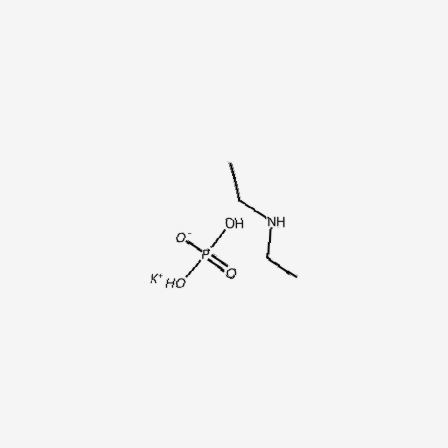 CCNCC.O=P([O-])(O)O.[K+]